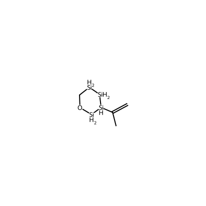 C=C(C)[SiH]1[SiH2]OC[SiH2][SiH2]1